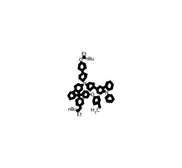 C=CC1=CCC(O[C@H]2CC=C(C3(C4C=CC(CC(CC)CCCC)CC4)C4=C(CCCC4)C4CCC(N(C5=CCC(C6CCC7C(C6)C6=CCCCC6N7C6=CC=CCC6)CC5)C5C=CC(C6C=CC(OC(CC)CCCC)CC6)CC5)CC43)CC2)C=C1